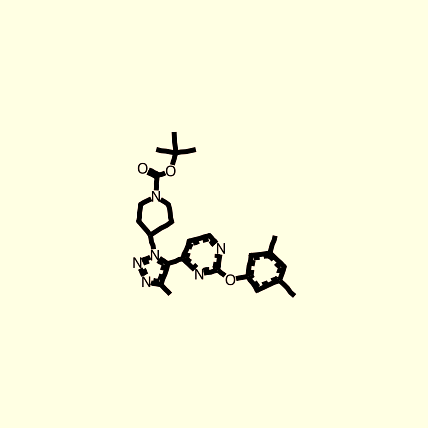 Cc1cc(C)cc(Oc2nccc(-c3c(C)nnn3C3CCN(C(=O)OC(C)(C)C)CC3)n2)c1